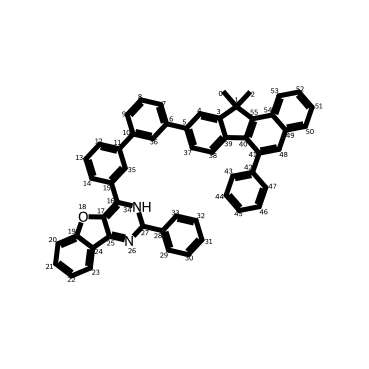 CC1(C)c2cc(-c3cccc(-c4cccc(C5=c6oc7ccccc7c6=NC(c6ccccc6)N5)c4)c3)ccc2-c2c(-c3ccccc3)cc3ccccc3c21